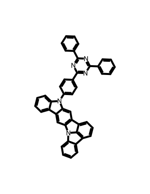 c1ccc(-c2nc(-c3ccccc3)nc(-c3ccc(-n4c5ccccc5c5cc6c(cc54)c4cccc5c7ccccc7n6c54)cc3)n2)cc1